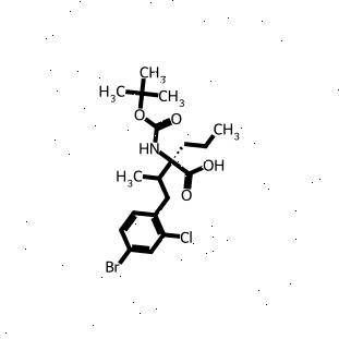 CCC[C@](NC(=O)OC(C)(C)C)(C(=O)O)C(C)Cc1ccc(Br)cc1Cl